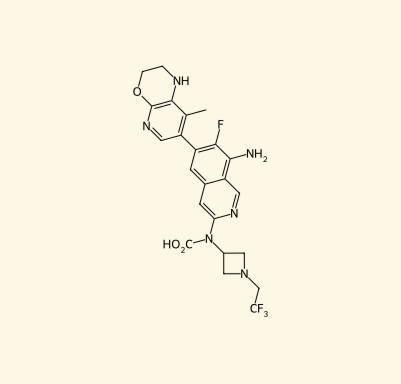 Cc1c(-c2cc3cc(N(C(=O)O)C4CN(CC(F)(F)F)C4)ncc3c(N)c2F)cnc2c1NCCO2